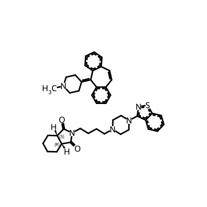 CN1CCC(=C2c3ccccc3C=Cc3ccccc32)CC1.O=C1[C@H]2CCCC[C@H]2C(=O)N1CCCCN1CCN(c2nsc3ccccc23)CC1